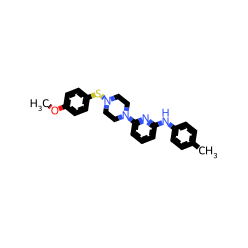 COc1ccc(SN2CCN(c3cccc(Nc4ccc(C)cc4)n3)CC2)cc1